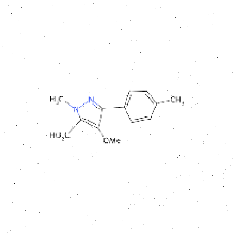 COc1c(-c2ccc(C)cc2)nn(C)c1C(=O)O